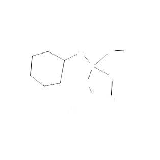 CCO[Si](OCC)(OCC)OC1CCCCC1.O